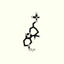 CS(=O)(=O)OCC1CCC(F)(F)c2c3c(nn2C1)CCN(C(=O)O)C3